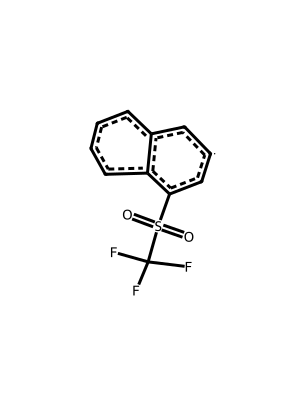 O=S(=O)(c1c[c]cc2ccccc12)C(F)(F)F